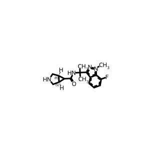 Cn1nc(C(C)(C)NC(=O)C2[C@H]3CNC[C@@H]23)c2cccc(F)c21